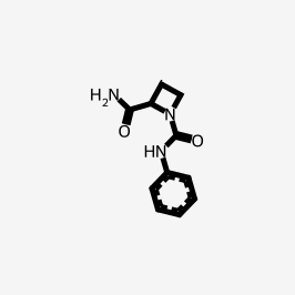 NC(=O)C1[CH]CN1C(=O)Nc1ccccc1